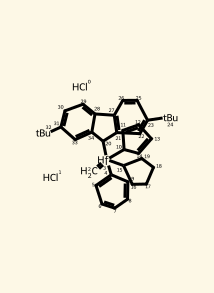 Cl.Cl.[CH2]=[Hf]([c]1ccccc1)([CH]1C=CC=C1)([CH]1CCCC1)[CH]1c2cc(C(C)(C)C)ccc2-c2ccc(C(C)(C)C)cc21